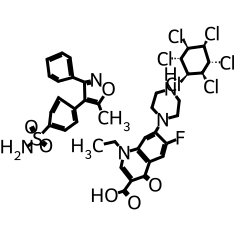 CCn1cc(C(=O)O)c(=O)c2cc(F)c(N3CCNCC3)cc21.Cc1onc(-c2ccccc2)c1-c1ccc(S(N)(=O)=O)cc1.Cl[C@H]1[C@H](Cl)[C@@H](Cl)[C@@H](Cl)[C@H](Cl)[C@H]1Cl